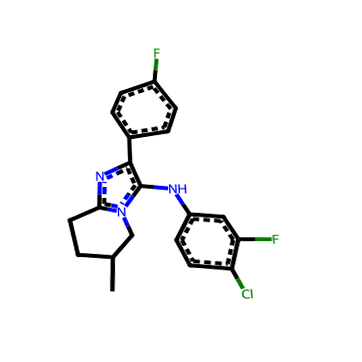 CC1CCc2nc(-c3ccc(F)cc3)c(Nc3ccc(Cl)c(F)c3)n2C1